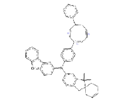 CC1(C)c2cc(N(c3ccc(C4=C/C=C\CC(c5ccccc5)/C=C\4)cc3)c3ccc4oc5ccccc5c4c3)ccc2CC12CC=CCC2